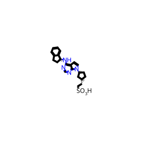 O=S(=O)(O)CC[C@H]1CC[C@H](n2ccc3c(N[C@H]4CCc5ccccc54)ncnc32)C1